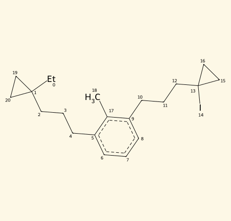 CCC1(CCCc2cccc(CCCC3(I)CC3)c2C)CC1